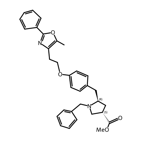 COC(=O)[C@H]1C[C@H](Cc2ccc(OCCc3nc(-c4ccccc4)oc3C)cc2)N(Cc2ccccc2)C1